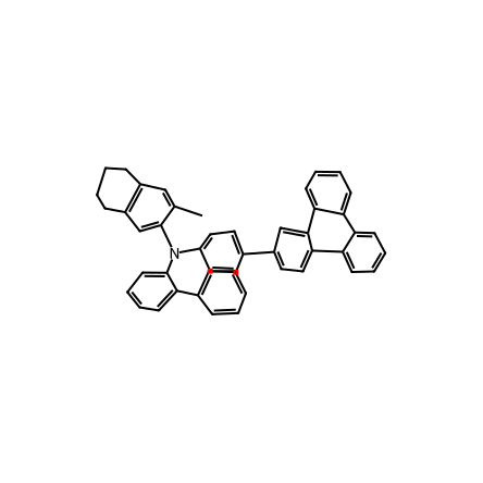 Cc1cc2c(cc1N(c1ccc(-c3ccc4c5ccccc5c5ccccc5c4c3)cc1)c1ccccc1-c1ccccc1)CCCC2